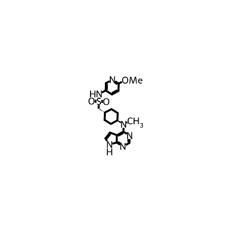 COc1ccc(NS(=O)(=O)C[C@H]2CC[C@H](N(C)c3ncnc4[nH]ccc34)CC2)cn1